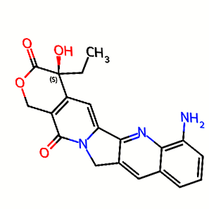 CC[C@@]1(O)C(=O)OCc2c1cc1n(c2=O)Cc2cc3cccc(N)c3nc2-1